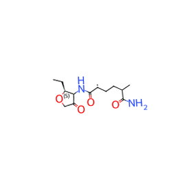 CC[C@@H]1OCC(=O)C1NC(=O)[CH]CCC(C)C(N)=O